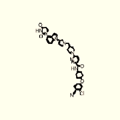 N#Cc1ccc(OC2CCC(NC(=O)c3ccc(N4CCC(CN5CCC(n6ccc7c(N8CCC(=O)NC8=O)cccc76)C5)CC4)nn3)CC2)cc1Cl